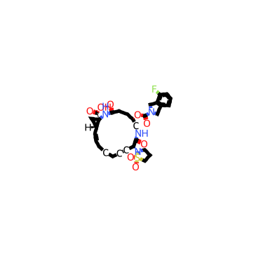 O=C1CC[C@@H](OC(=O)N2Cc3cccc(F)c3C2)CNC(=O)[C@@H](N2CCCS2(=O)=O)CCCCC/C=C\[C@@H]2C[C@@]2(C(=O)O)N1